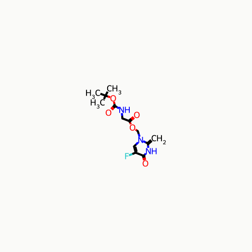 C=C1NC(=O)C(F)=CN1COC(=O)CNC(=O)OC(C)(C)C